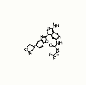 CNc1ncc(-c2nc3cc(N4CCO[C@@H](C)C4)ccc3o2)c2cc(NC(=O)[C@H]3C[C@H]3C(F)F)ncc12